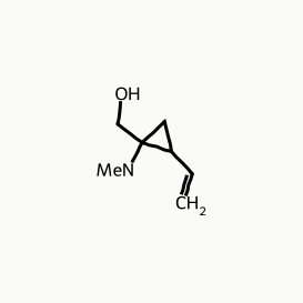 C=CC1CC1(CO)NC